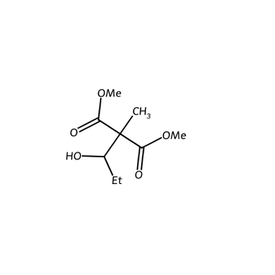 CCC(O)C(C)(C(=O)OC)C(=O)OC